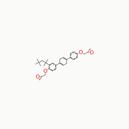 CC(C)(C)CC(C)(C)c1cc(C2=CCC(c3ccc(OCC4CO4)cc3)=CC2)ccc1OCC1CO1